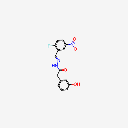 O=C(Cc1cccc(O)c1)N/N=C/c1cc([N+](=O)[O-])ccc1F